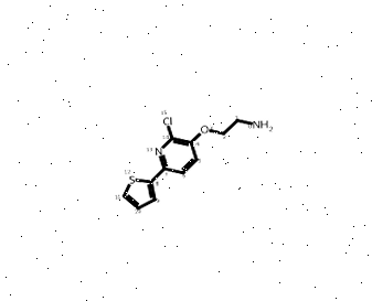 NCCOc1ccc(-c2cc[c]s2)nc1Cl